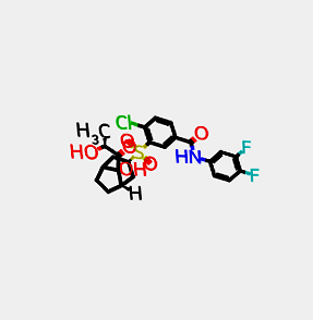 C[C@H](O)C(=O)[C@@]1(O)C2CC[C@H]1C[C@H](S(=O)(=O)c1cc(C(=O)Nc3ccc(F)c(F)c3)ccc1Cl)C2